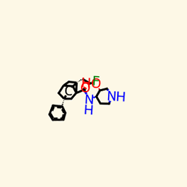 O=C(N[C@@H]1CCNC[C@H]1O)C12CC3C[C@](c4ccccc4)(C1)C[C@@]2(CCF)C3